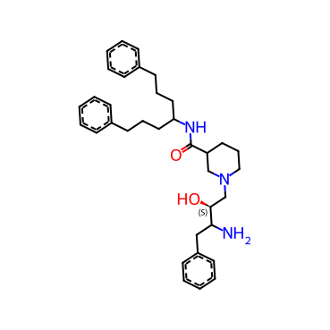 NC(Cc1ccccc1)[C@@H](O)CN1CCCC(C(=O)NC(CCCc2ccccc2)CCCc2ccccc2)C1